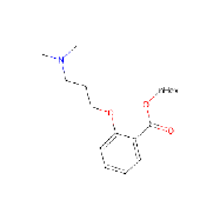 CCCCCCOC(=O)c1ccccc1OCCCN(C)C